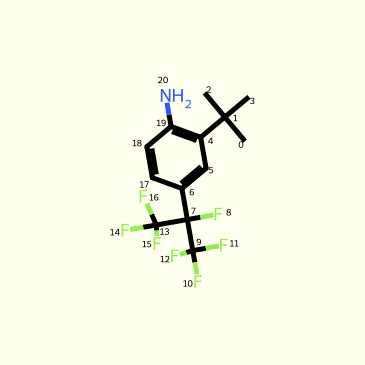 CC(C)(C)c1cc(C(F)(C(F)(F)F)C(F)(F)F)ccc1N